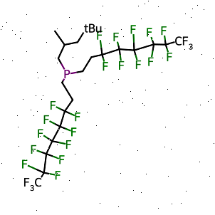 CC(CP(CCC(F)(F)C(F)(F)C(F)(F)C(F)(F)C(F)(F)C(F)(F)F)CCC(F)(F)C(F)(F)C(F)(F)C(F)(F)C(F)(F)C(F)(F)F)CC(C)(C)C